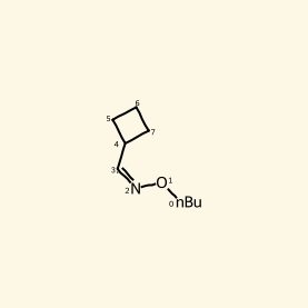 CCCCO/N=[C]\C1CCC1